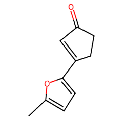 Cc1ccc(C2=CC(=O)CC2)o1